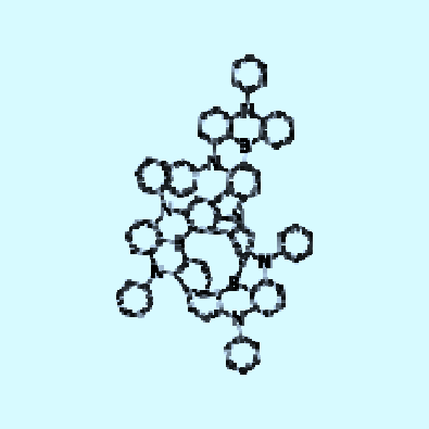 C/C=C\C1=C2c3ccc4c(c3)B3c5cc6c7c8c(cc9c%10c%11c(ccc%10n(c6cc5N(c5ccccc5)c5cccc(c53)N4c3ccccc3)c97)B3c4ccccc4N(c4ccccc4)c4cccc(c43)N%11c3ccccc3)N(c3ccccc3)c3cccc(c3B18)N2c1ccccc1